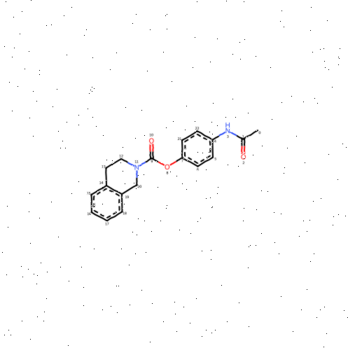 CC(=O)Nc1ccc(OC(=O)N2CCc3ccccc3C2)cc1